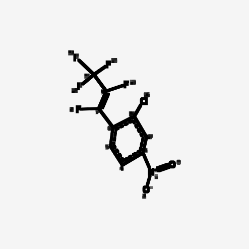 O=[N+]([O-])c1ccc(C(F)=C(F)C(F)(F)F)c(Cl)c1